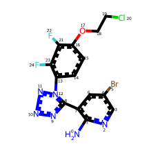 Nc1ncc(Br)cc1-c1nnnn1-c1ccc(OCCCl)c(F)c1F